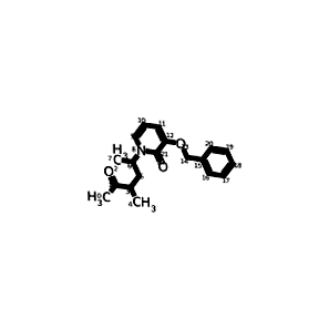 CC(=O)C(C)CC(C)n1cccc(OCc2ccccc2)c1=O